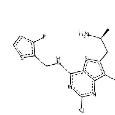 Cc1c(C[C@H](C)N)sc2c(NCc3sccc3F)nc(Cl)nc12